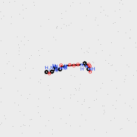 Nc1ncnc2c1c(-c1ccc(Oc3ccccc3)cc1)nn2[C@@H]1CCCN(C(=O)c2cn(CCOCCOCCOCCNc3cccc4c3CN(C3CCC(=O)NC3=O)C4=O)nn2)C1